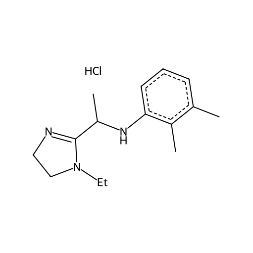 CCN1CCN=C1C(C)Nc1cccc(C)c1C.Cl